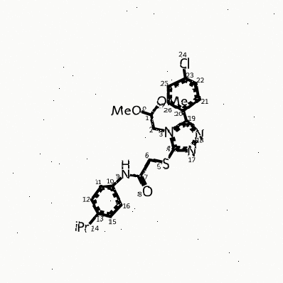 COC(Cn1c(SCC(=O)Nc2ccc(C(C)C)cc2)nnc1-c1ccc(Cl)cc1)OC